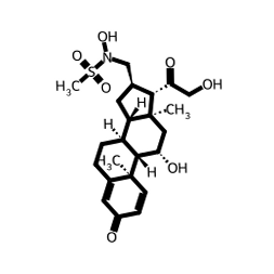 C[C@]12C[C@H](O)[C@H]3[C@@H](CCC4=CC(=O)C=C[C@@]43C)[C@@H]1C[C@@H](CN(O)S(C)(=O)=O)[C@@H]2C(=O)CO